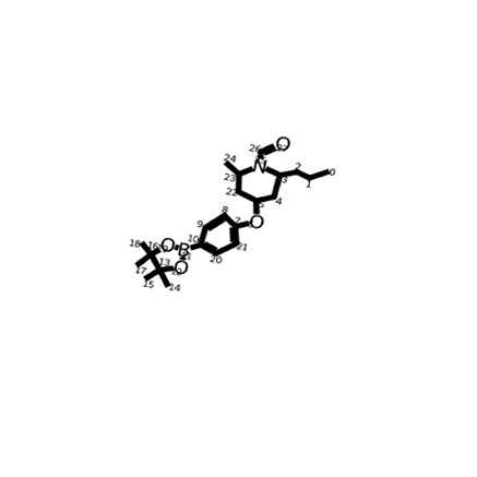 CCCC1CC(Oc2ccc(B3OC(C)(C)C(C)(C)O3)cc2)CC(C)N1C=O